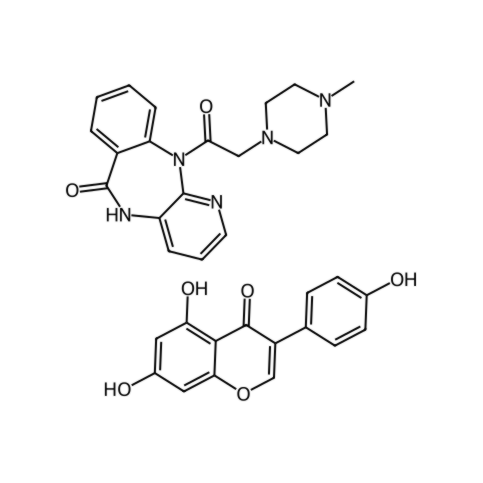 CN1CCN(CC(=O)N2c3ccccc3C(=O)Nc3cccnc32)CC1.O=c1c(-c2ccc(O)cc2)coc2cc(O)cc(O)c12